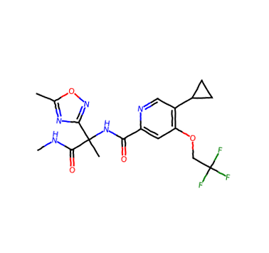 CNC(=O)C(C)(NC(=O)c1cc(OCC(F)(F)F)c(C2CC2)cn1)c1noc(C)n1